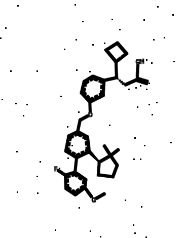 C=C(O)C[C@H](c1cccc(OCc2ccc(-c3cc(OC)ccc3F)c([C@@H]3CCCC3(C)C)c2)c1)C1CCC1